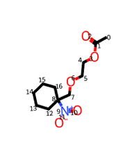 CC(=O)OCCOCC1([N+](=O)[O-])CCCCC1